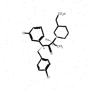 CC(=O)[C@](C)(C(=O)[C@H](Cc1ccc(Cl)cc1)c1cccc(Cl)c1)N1CCCC(CC(=O)O)C1